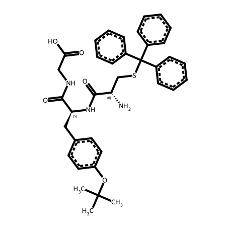 CC(C)(C)Oc1ccc(C[C@H](NC(=O)[C@@H](N)CSC(c2ccccc2)(c2ccccc2)c2ccccc2)C(=O)NCC(=O)O)cc1